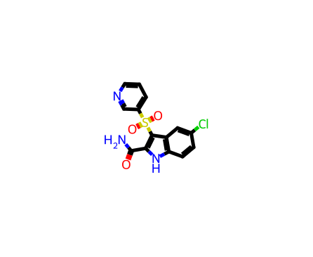 NC(=O)c1[nH]c2ccc(Cl)cc2c1S(=O)(=O)c1cccnc1